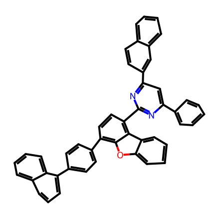 c1ccc(-c2cc(-c3ccc4ccccc4c3)nc(-c3ccc(-c4ccc(-c5cccc6ccccc56)cc4)c4oc5ccccc5c34)n2)cc1